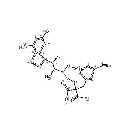 CO[C@H](COC(Cc1cccc(C#N)c1)(C(=O)O)C(=O)O)[C@@H](O)[C@H](F)n1cnc2c(N)nc(Cl)nc21